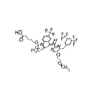 CC[C@@H]1C[C@H](Nc2ncc(OCCOC)c(Cc3cc(C(F)(F)F)cc(C(F)(F)F)c3)n2)c2cc(C(F)(F)F)ccc2N1C(=O)OCCCCC(=O)O